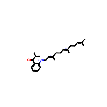 CC(C)=CCC/C(C)=C/CC/C(C)=C/CNc1ccccc1C(=O)C(C)C